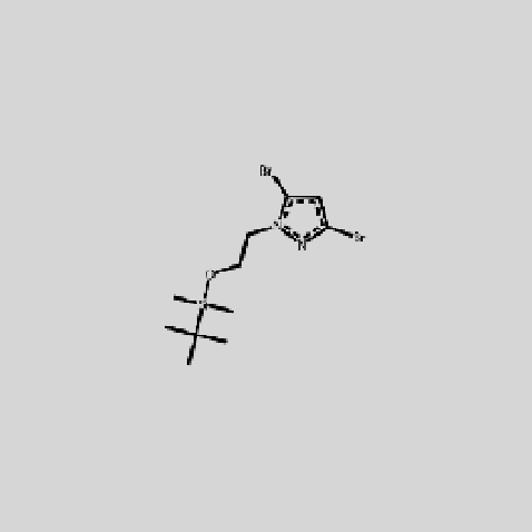 CC(C)(C)[Si](C)(C)OCCn1nc(Br)cc1Br